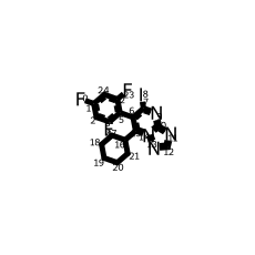 Fc1cc(F)c(-c2c(I)nc3ncnn3c2C2CCCCC2)c(F)c1